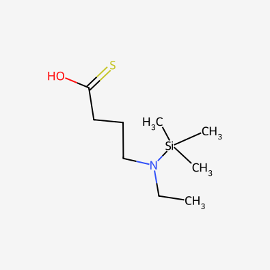 CCN(CCCC(O)=S)[Si](C)(C)C